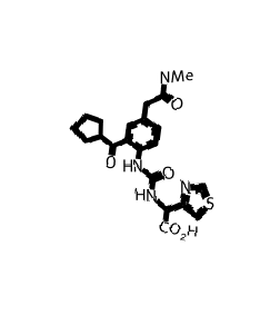 CNC(=O)Cc1ccc(NC(=O)NC(C(=O)O)c2cscn2)c(C(=O)C2CCCC2)c1